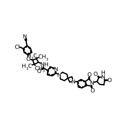 CC1(C)C(NC(=O)c2ccc(N3CCC4(CC3)CN(c3ccc5c(c3)C(=O)N(C3CCC(=O)NC3=O)C5=O)C4)nc2)C(C)(C)C1Oc1ccc(C#N)c(Cl)c1